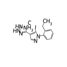 CCc1ccccc1-n1ncc(C2=NNNN2C)c1I